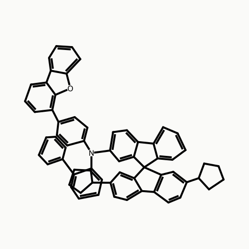 c1ccc(-c2ccccc2N(c2ccc(-c3cccc4c3oc3ccccc34)cc2)c2ccc3c(c2)C2(c4ccccc4-3)c3cc(C4CCCC4)ccc3-c3ccc(C4CCCC4)cc32)cc1